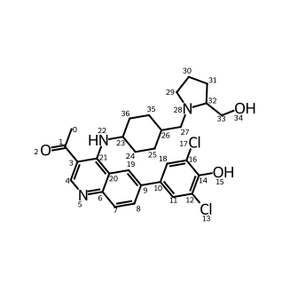 CC(=O)c1cnc2ccc(-c3cc(Cl)c(O)c(Cl)c3)cc2c1NC1CCC(CN2CCCC2CO)CC1